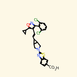 O=C(O)c1ccc2nc(N3CC4C(C=Cc5c(-c6c(Cl)cccc6Cl)noc5C5CC5)C4C3)sc2c1